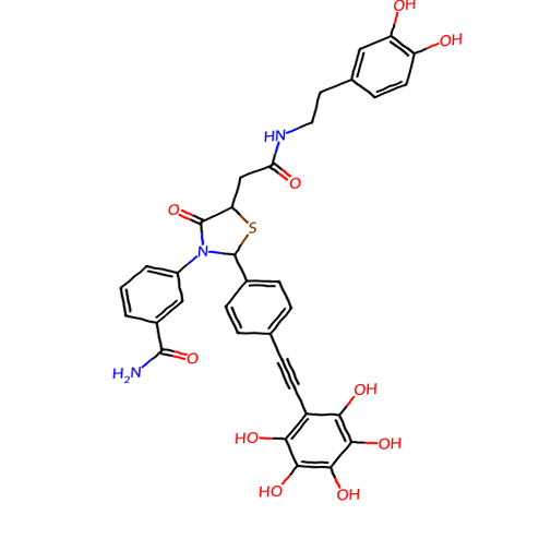 NC(=O)c1cccc(N2C(=O)C(CC(=O)NCCc3ccc(O)c(O)c3)SC2c2ccc(C#Cc3c(O)c(O)c(O)c(O)c3O)cc2)c1